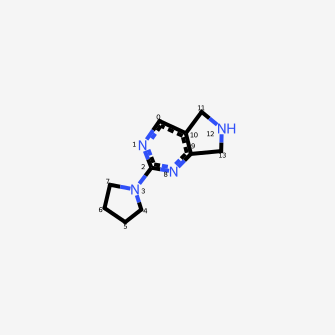 c1nc(N2CCCC2)nc2c1CNC2